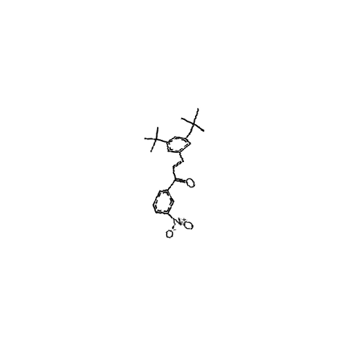 CC(C)(C)c1cc(C=CC(=O)c2cccc([N+](=O)[O-])c2)cc(C(C)(C)C)c1